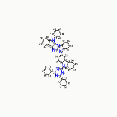 c1ccc(-c2nc(-c3ccccc3)nc(-n3c4ccccc4c4cc(-n5c6ccccc6n6c5nc5c7ccccc7n(-c7ccccc7)c56)ccc43)n2)cc1